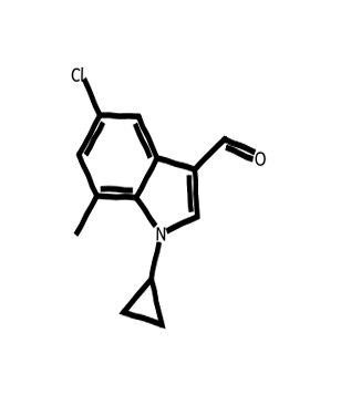 Cc1cc(Cl)cc2c(C=O)cn(C3CC3)c12